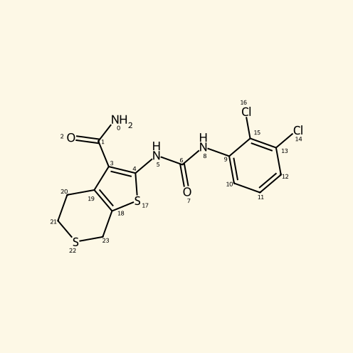 NC(=O)c1c(NC(=O)Nc2cccc(Cl)c2Cl)sc2c1CCSC2